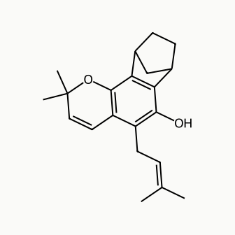 CC(C)=CCc1c(O)c2c(c3c1C=CC(C)(C)O3)C1CCC2C1